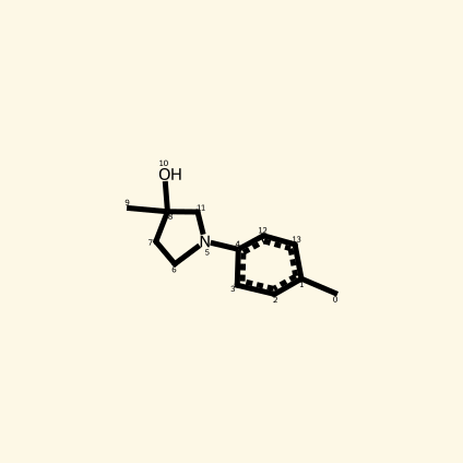 Cc1ccc(N2CCC(C)(O)C2)cc1